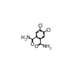 NC(=O)c1cc(Cl)c(Cl)cc1C(N)=O